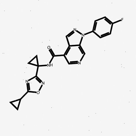 O=C(NC1(c2noc(C3CC3)n2)CC1)c1cncc2c1cnn2-c1ccc(F)cc1